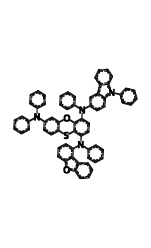 c1ccc(N(c2ccccc2)c2ccc3c(c2)Oc2c(N(c4ccccc4)c4ccc5c(c4)c4ccccc4n5-c4ccccc4)ccc(N(c4ccccc4)c4cccc5oc6ccccc6c45)c2S3)cc1